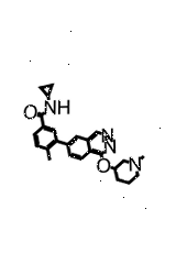 Cc1ccc(C(=O)NC2CC2)cc1-c1ccc2c(OC3CCCN(C)C3)nncc2c1